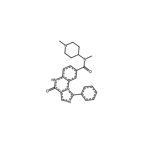 CN1CCC(N(C)C(=O)c2ccc3[nH]c(=O)c4cnc(-c5ccccc5)n4c3c2)CC1